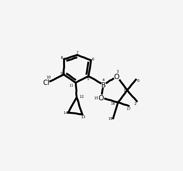 CC1(C)OB(c2cccc(Cl)c2C2CC2)OC1(C)C